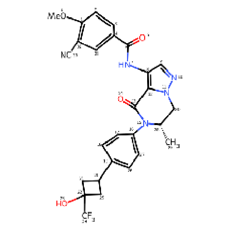 COc1ccc(C(=O)Nc2cnn3c2C(=O)N(c2ccc(C4CC(O)(C(F)(F)F)C4)cc2)[C@@H](C)C3)cc1C#N